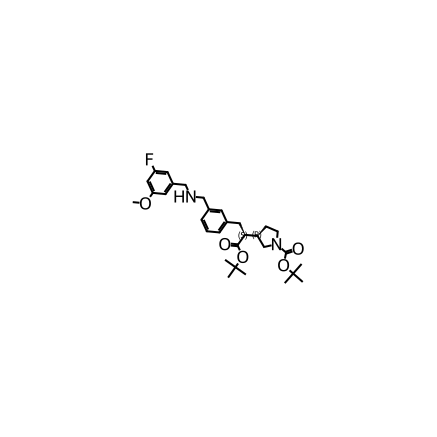 COc1cc(F)cc(CNCc2cccc(C[C@H](C(=O)OC(C)(C)C)[C@H]3CCN(C(=O)OC(C)(C)C)C3)c2)c1